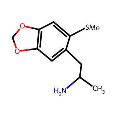 CSc1cc2c(cc1CC(C)N)OCO2